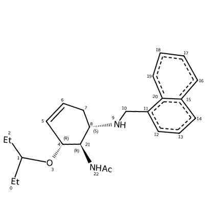 CCC(CC)O[C@@H]1C=CC[C@H](NCc2cccc3ccccc23)[C@H]1NC(C)=O